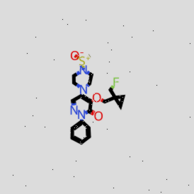 C[S+]([O-])N1CCN(c2cnn(-c3ccccc3)c(=O)c2OCC2(CF)CC2)CC1